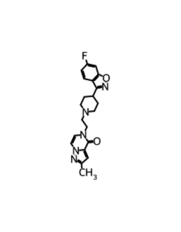 Cc1cc2c(=O)n(CCN3CCC(c4noc5cc(F)ccc45)CC3)ccn2n1